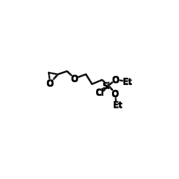 CCO[Si](Cl)(CCCOCC1CO1)OCC